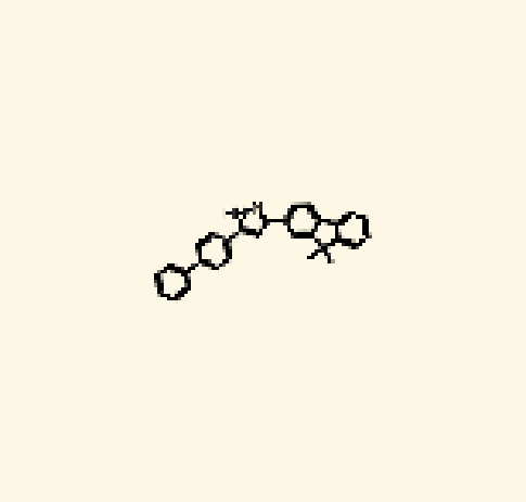 CC1(C)c2ccccc2-c2ccc(-c3cc(-c4ccc(-c5ccccc5)cc4)[nH]n3)cc21